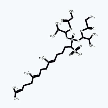 CCC(=O)OC(OP(=O)(OC(OC(=O)CC)C(C)C)C(CCC/C=C(\C)CC/C=C(\C)CCC=C(C)C)S(=O)(=O)O)C(C)C